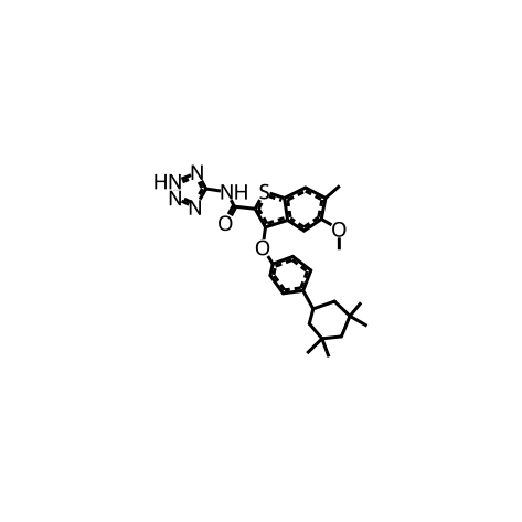 COc1cc2c(Oc3ccc(C4CC(C)(C)CC(C)(C)C4)cc3)c(C(=O)Nc3nn[nH]n3)sc2cc1C